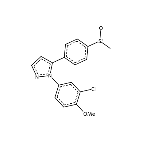 COc1ccc(-n2nccc2-c2ccc([S+](C)[O-])cc2)cc1Cl